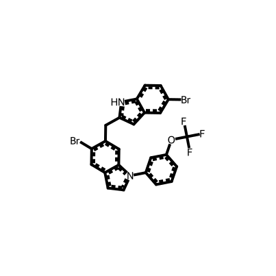 FC(F)(F)Oc1cccc(-n2ccc3cc(Br)c(Cc4cc5cc(Br)ccc5[nH]4)cc32)c1